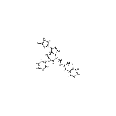 Cn1cc(-c2csc3c(NC[C@@H](N)Cc4ccccc4)nc(-c4ccncc4)nc23)cn1